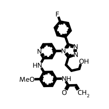 C=CC(=O)Nc1ccc(OC)c(Nc2cc(-n3c(CCCO)nnc3-c3ccc(F)cc3)ccn2)c1